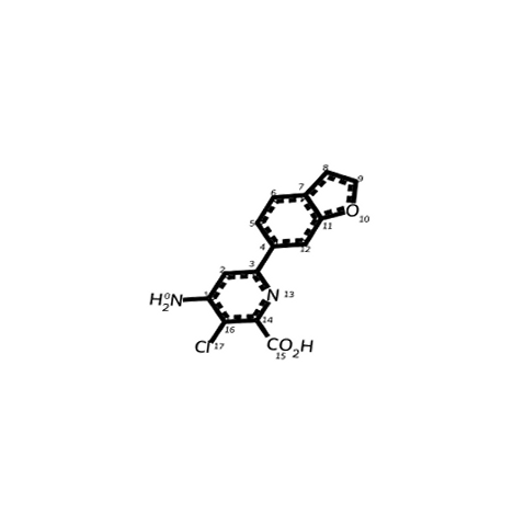 Nc1cc(-c2ccc3ccoc3c2)nc(C(=O)O)c1Cl